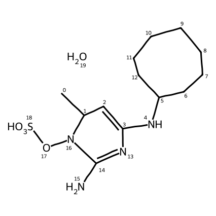 CC1C=C(NC2CCCCCCC2)N=C(N)N1OS(=O)(=O)O.O